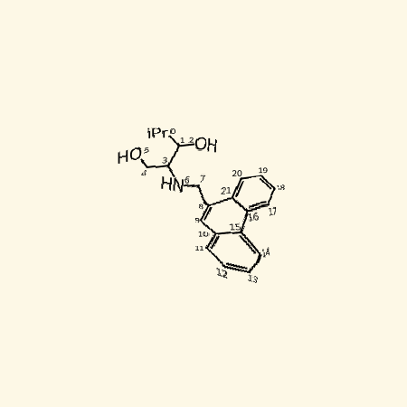 CC(C)C(O)C(CO)NCc1cc2ccccc2c2ccccc12